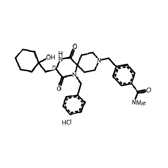 CNC(=O)c1ccc(CN2CCC3(CC2)C(=O)N[C@H](CC2(O)CCCCC2)C(=O)N3Cc2ccccc2)cc1.Cl